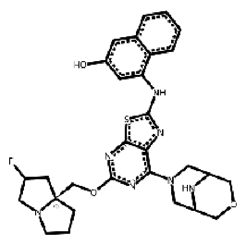 Oc1cc(Nc2nc3c(N4CC5COCC(C4)N5)nc(OC[C@@]45CCCN4CC(F)C5)nc3s2)c2ccccc2c1